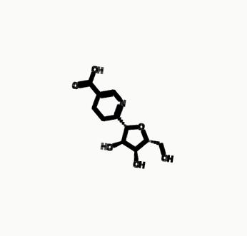 O=C(O)C1=CN=C([C@@H]2O[C@H](CO)[C@@H](O)[C@H]2O)CC1